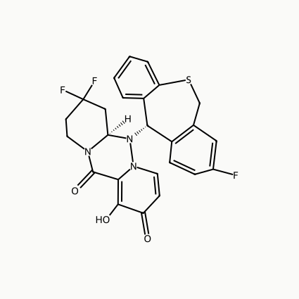 O=C1c2c(O)c(=O)ccn2N([C@H]2c3ccc(F)cc3CSc3ccccc32)[C@@H]2CC(F)(F)CCN12